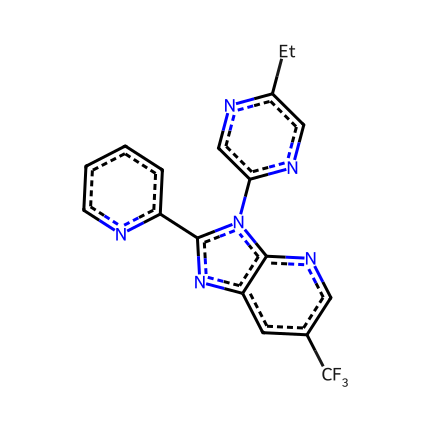 CCc1cnc(-n2c(-c3ccccn3)nc3cc(C(F)(F)F)cnc32)cn1